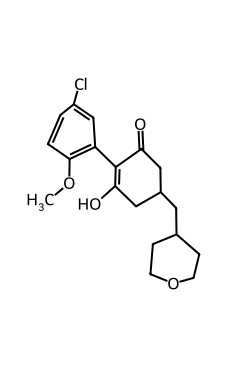 COc1ccc(Cl)cc1C1=C(O)CC(CC2CCOCC2)CC1=O